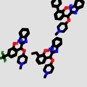 CCc1cccc(C(OC2CCN(C)CC2)c2nc3ccccc3[nH]2)c1O.CN1CCC(OC(c2nc3ccccc3[nH]2)c2ccc(C(F)(F)F)cc2O)CC1.CN1CCC(OC(c2nc3ccccc3[nH]2)c2cccc(-c3ccccc3)c2O)CC1